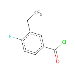 O=C(Cl)c1ccc(F)c(CC(F)(F)F)c1